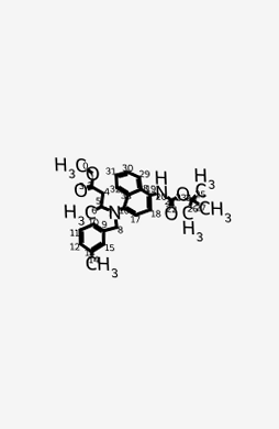 COC(=O)CC(C)N(Cc1cccc(C)c1)c1ccc(NC(=O)OC(C)(C)C)c2ccccc12